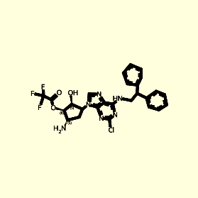 N[C@H]1CC(n2cnc3c(NCC(c4ccccc4)c4ccccc4)nc(Cl)nc32)[C@H](O)[C@@H]1OC(=O)C(F)(F)F